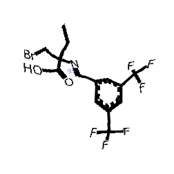 CCC(CBr)(/N=C/c1cc(C(F)(F)F)cc(C(F)(F)F)c1)C(=O)O